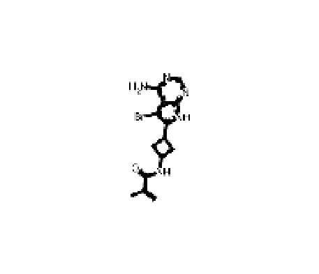 C=C(C)C(=O)NC1CC(c2[nH]c3ncnc(N)c3c2Br)C1